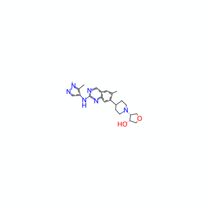 Cc1cc2cnc(Nc3cnn(C)c3C)nc2cc1C1CCN([C@@H]2COC[C@@H]2O)CC1